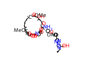 C#CCN1CCN(c2ncc(-c3cccc(CO[C@@H]4CC[C@@H](C[C@@H](N)[C@@H]5CC(=O)[C@H](C)/C=C(\C)[C@@H](O)[C@@H](OC)C(=O)[C@H](C)C[C@H](C)/C=C/C=C/C=C(\C)[C@@H](OC)C[C@@H]6CC[C@@H](C)[C@@](O)(O6)C(=O)C(=O)N6CCCC[C@H]6C(=O)O5)C[C@H]4OC)c3)cn2)CC1CO